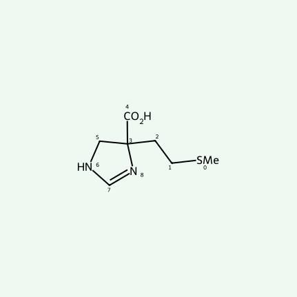 CSCCC1(C(=O)O)CNC=N1